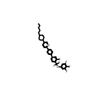 CCCCCC1CCC(c2ccc(-c3ccc(-c4ccc(C(F)(F)Oc5cc(F)c(F)c(F)c5)c(F)c4)cc3)nc2)CC1